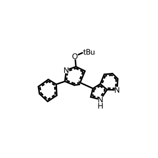 CC(C)(C)Oc1cc(-c2c[nH]c3ncccc23)cc(-c2ccccc2)n1